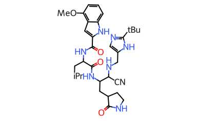 COc1cccc2[nH]c(C(=O)NC(CC(C)C)C(=O)NC(CC3CCNC3=O)C(C#N)NCc3cnc(C(C)(C)C)[nH]3)cc12